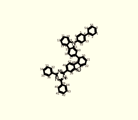 c1ccc(-c2ccc(-n3c4ccccc4c4ccc(-c5cccc6oc7cc(-c8nc(-c9ccccc9)nc(-c9ccccc9)n8)ccc7c56)cc43)cc2)cc1